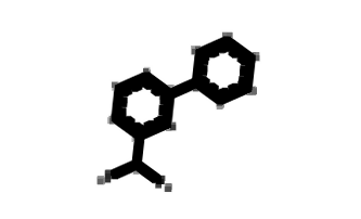 FC(F)c1cccc(-c2ccccc2)c1